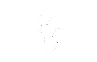 CCN(c1nccc(C)n1)c1ccc(C(C)C)cc1Br